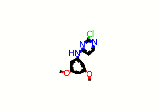 COc1cc(Nc2ccnc(Cl)n2)cc(OC)c1